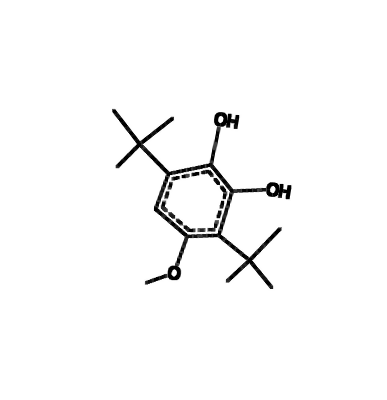 COc1cc(C(C)(C)C)c(O)c(O)c1C(C)(C)C